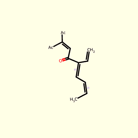 C=C/C(=C\C=C/C)C(=O)C=C(C(C)=O)C(C)=O